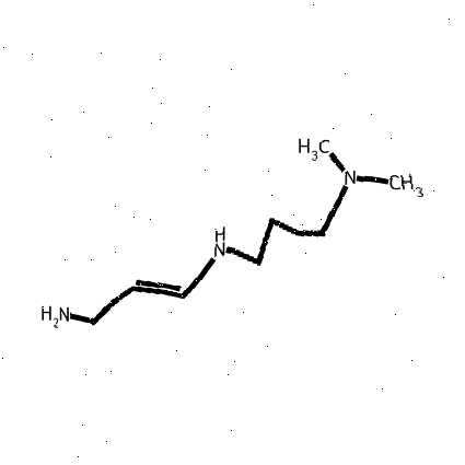 CN(C)CCCNC=CCN